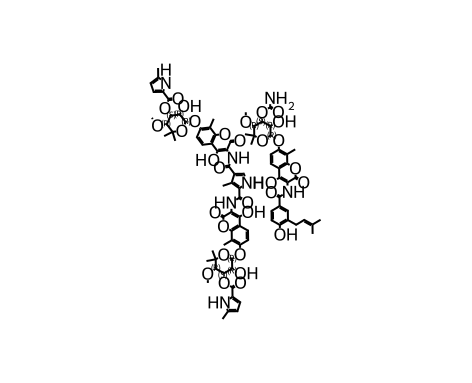 CO[C@@H]1[C@@H](OC(=O)c2ccc(C)[nH]2)[C@@H](O)[C@H](Oc2ccc3c(O)c(NC(=O)c4c[nH]c(C(=O)Nc5c(O)c6ccc(O[C@@H]7OC(C)(C)[C@H](OC)[C@@H](OC(=O)c8ccc(C)[nH]8)[C@H]7O)c(C)c6oc5=O)c4C)c(=O)oc3c2C)OC1(C)C.CO[C@@H]1[C@@H](OC(N)=O)[C@@H](O)[C@H](Oc2ccc3c(O)c(NC(=O)c4ccc(O)c(CC=C(C)C)c4)c(=O)oc3c2C)OC1(C)C